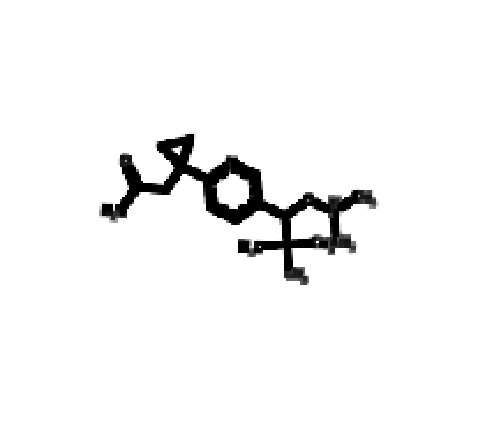 C[SiH](C)OC(c1ccc(C2(CC(N)=O)CC2)nc1)C(C)(C)C